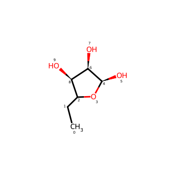 CCC1O[C@H](O)[C@H](O)[C@@H]1O